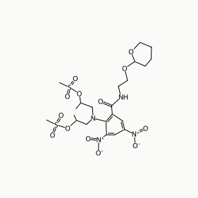 CC(CN(CC(C)OS(C)(=O)=O)c1c(C(=O)NCCOC2CCCCO2)cc([N+](=O)[O-])cc1[N+](=O)[O-])OS(C)(=O)=O